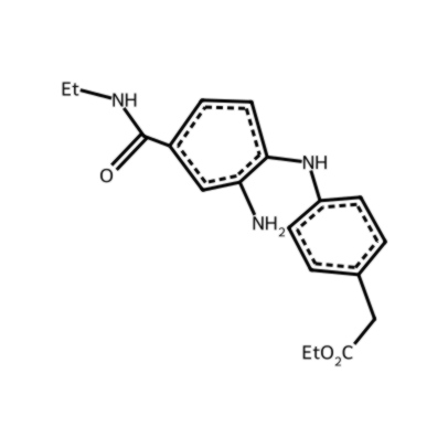 CCNC(=O)c1ccc(Nc2ccc(CC(=O)OCC)cc2)c(N)c1